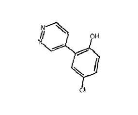 Oc1ccc(Cl)cc1-c1ccnnc1